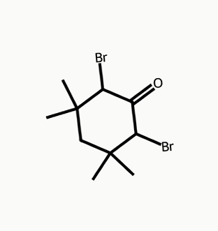 CC1(C)CC(C)(C)C(Br)C(=O)C1Br